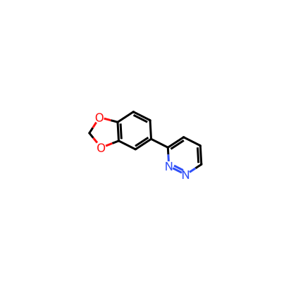 c1cnnc(-c2ccc3c(c2)OCO3)c1